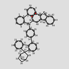 c1ccc(-c2ccccc2N(c2ccc(-c3cccc4c3-c3ccccc3C43CC4CCC3C4)cc2)c2ccc3sc4ccccc4c3c2)cc1